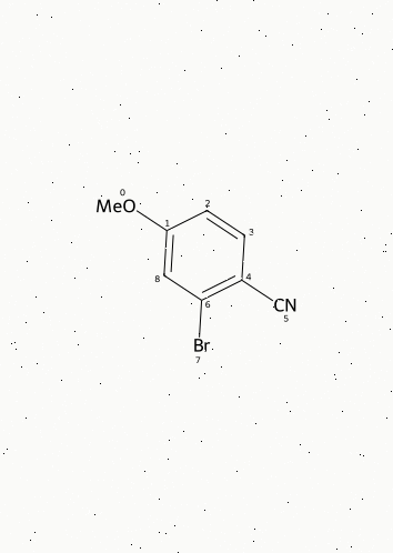 COc1ccc(C#N)c(Br)c1